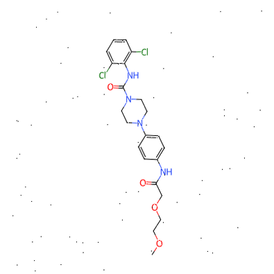 COCCOCC(=O)Nc1ccc(N2CCN(C(=O)Nc3c(Cl)cccc3Cl)CC2)cc1